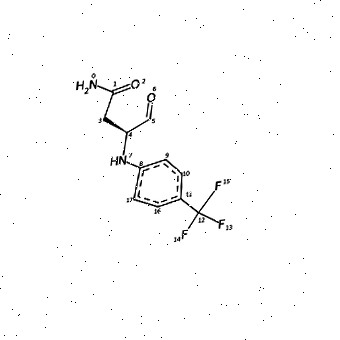 NC(=O)C[C@@H](C=O)Nc1ccc(C(F)(F)F)cc1